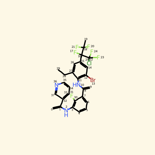 C=C(Nc1cccc(C(=C)Nc2c(Br)cc(C(F)(C(C)(F)F)C(F)(F)Cl)cc2CC)c1F)c1cccnc1